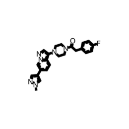 Cn1cc(-c2ccc3c(N4CCN(C(=O)Cc5ccc(F)cc5)CC4)cnn3c2)cn1